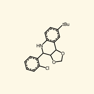 CC(C)(C)c1ccc2c(c1)C1OCOC1C(c1ccccc1Cl)N2